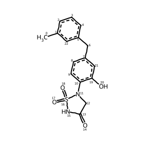 Cc1cccc(Cc2ccc(N3CC(=O)NS3(=O)=O)c(O)c2)c1